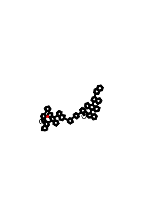 c1ccc(-c2ccc3oc4c5ccccc5cc(-c5c6ccccc6c(-c6cccc7cc(-c8cccc(-c9ccc(-c%10cccc%11c%10oc%10cc%12ccccc%12c(-c%12c%13ccccc%13c(-c%13ccc(-c%14ccc%15ccccc%15c%14)c%14ccccc%13%14)c%13ccccc%12%13)c%10%11)cc9)c8)ccc67)c6ccccc56)c4c3c2)cc1